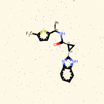 CC(C)[C@@H](NC(=O)[C@H]1C[C@@H]1c1nc2ccccc2[nH]1)c1ccc(C(F)(F)F)s1